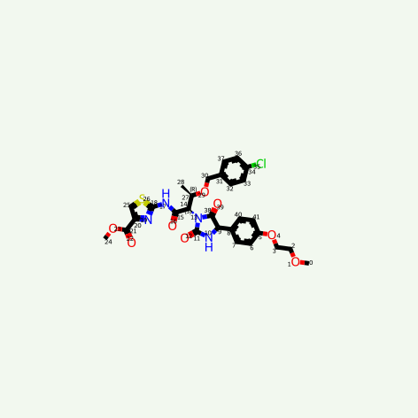 COCCOc1ccc(C2NC(=O)N([C@H](C(=O)Nc3nc(C(=O)OC)cs3)[C@@H](C)OCc3ccc(Cl)cc3)C2=O)cc1